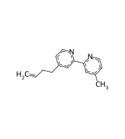 C=CCCc1ccnc(-c2cc(C)ccn2)c1